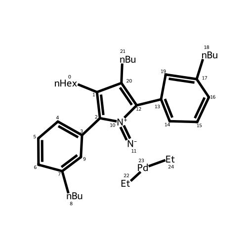 CCCCCCC1=C(c2cccc(CCCC)c2)[N+](=[N-])C(c2cccc(CCCC)c2)=C1CCCC.C[CH2][Pd][CH2]C